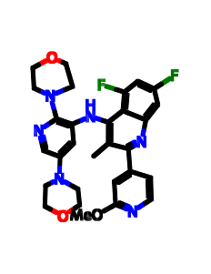 COc1cc(-c2nc3cc(F)cc(F)c3c(Nc3cc(N4CCOCC4)cnc3N3CCOCC3)c2C)ccn1